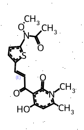 CON(C(C)=O)c1ccc(/C=C/C(=O)c2c(O)cc(C)n(C)c2=O)s1